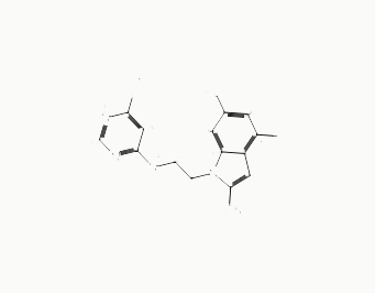 N#Cc1cc2c(Cl)cc(Cl)cc2n1CCNc1cc(Cl)ncn1